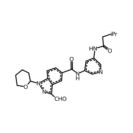 CC(C)CC(=O)Nc1cncc(NC(=O)c2ccc3c(c2)c(C=O)nn3C2CCCCO2)c1